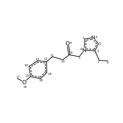 CCc1cncn1CC(=O)CCc1ccc(OC)cc1